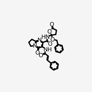 O=C(C=Cc1ccccc1)Nc1c(C(=O)NC2(OCc3ccccc3)CCC(=O)O2)nc2n(c1=O)CCC2